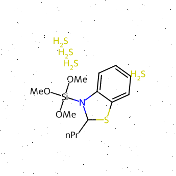 CCCC1Sc2ccccc2N1[Si](OC)(OC)OC.S.S.S.S